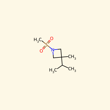 CC(C)C1(C)CN(S(C)(=O)=O)C1